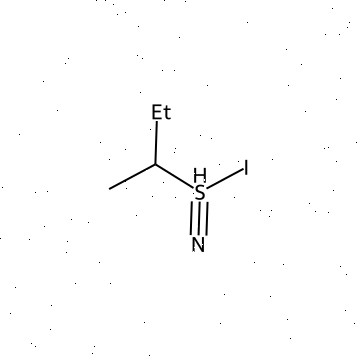 CCC(C)[SH](#N)I